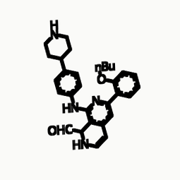 CCCCOc1ccccc1-c1cc2c(c(Nc3ccc(C4CCNCC4)cc3)n1)C(C=O)NC=C2